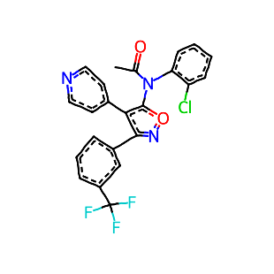 CC(=O)N(c1ccccc1Cl)c1onc(-c2cccc(C(F)(F)F)c2)c1-c1ccncc1